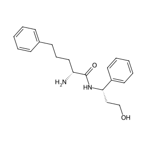 N[C@H](CCCc1ccccc1)C(=O)N[C@@H](CCO)c1ccccc1